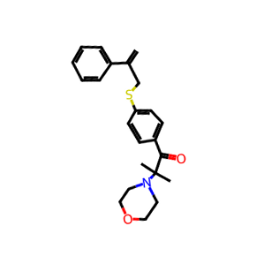 C=C(CSc1ccc(C(=O)C(C)(C)N2CCOCC2)cc1)c1ccccc1